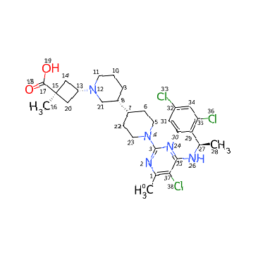 Cc1nc(N2CCC([C@H]3CCCN([C@H]4C[C@](C)(C(=O)O)C4)C3)CC2)nc(N[C@H](C)c2ccc(Cl)cc2Cl)c1Cl